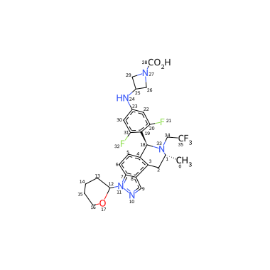 C[C@@H]1Cc2c(ccc3c2cnn3C2CCCCO2)[C@@H](c2c(F)cc(NC3CN(C(=O)O)C3)cc2F)N1CC(F)(F)F